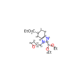 CCOC(=O)C1CCc2nc(C(OCC)OCC)n(C[C@@H]3CCO3)c2C1